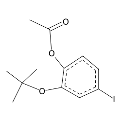 CC(=O)Oc1ccc(I)cc1OC(C)(C)C